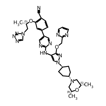 C[C@@H]1CN([C@H]2CC[C@H](n3cc(Nc4ncc(-c5ccc(C#N)c(O[C@@H](C)Cn6cnnn6)c5)cn4)c(OCc4ncccn4)n3)CC2)C[C@H](C)O1